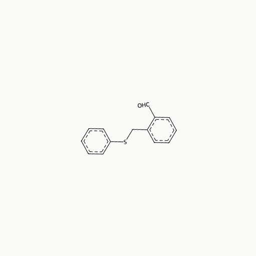 O=Cc1ccccc1CSc1ccccc1